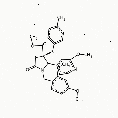 COC(=O)[C@@]1(Sc2ccc(C)cc2)CC(=O)N(Cc2ccc(OC)cc2OC)C1c1ccnc(OC)c1